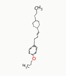 CCCOc1ccc(CCC=CC2CCC(CCC)CC2)cc1